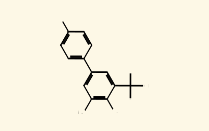 CCC(C)c1cc(-c2ccc(O)cc2)cc(C(C)(C)CC)c1O